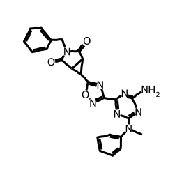 CN(c1ccccc1)c1nc(N)nc(-c2noc(C3C4C(=O)N(Cc5ccccc5)C(=O)C43)n2)n1